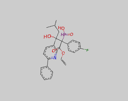 C=COC(=O)C(c1ccc(F)cc1)([PH](=O)O)C(O)(CC(C)C)c1ccc(-c2ccccc2)nc1